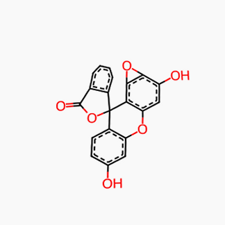 O=C1OC2(c3ccc(O)cc3Oc3cc(O)c4c(c32)O4)c2ccccc21